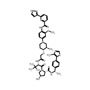 COc1cc(N2CC[C@@H](OCC(=O)N[C@H](C(=O)N3C[C@H](O)C[C@H]3C(=O)N[C@@H](C)c3ccc(-c4scnc4C)cc3)C(C)(C)C)[C@H](C)C2)ccc1NC(=O)c1cccc(-c2cc[nH]n2)n1